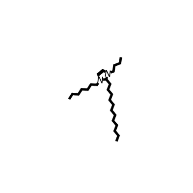 CCCCCCCCCCCCC1N(CCCC)C=CN1CCCCCCC